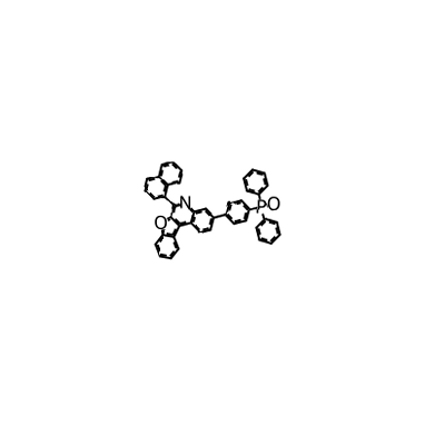 O=P(c1ccccc1)(c1ccccc1)c1ccc(-c2ccc3c(c2)nc(-c2cccc4ccccc24)c2oc4ccccc4c23)cc1